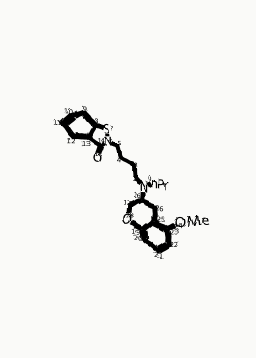 CCCN(CCCCn1sc2ccccc2c1=O)C1COc2cccc(OC)c2C1